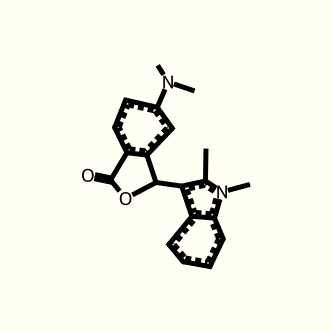 Cc1c(C2OC(=O)c3ccc(N(C)C)cc32)c2ccccc2n1C